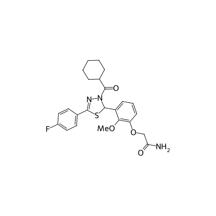 COc1c(OCC(N)=O)cccc1C1SC(c2ccc(F)cc2)=NN1C(=O)C1CCCCC1